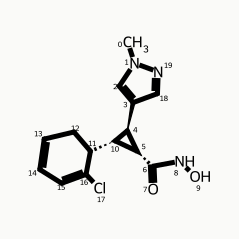 Cn1cc([C@H]2[C@H](C(=O)NO)[C@@H]2C2CC=CC=C2Cl)cn1